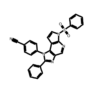 N#Cc1ccc(-n2c(-c3ccccc3)nc3cnc4c(ccn4S(=O)(=O)c4ccccc4)c32)cc1